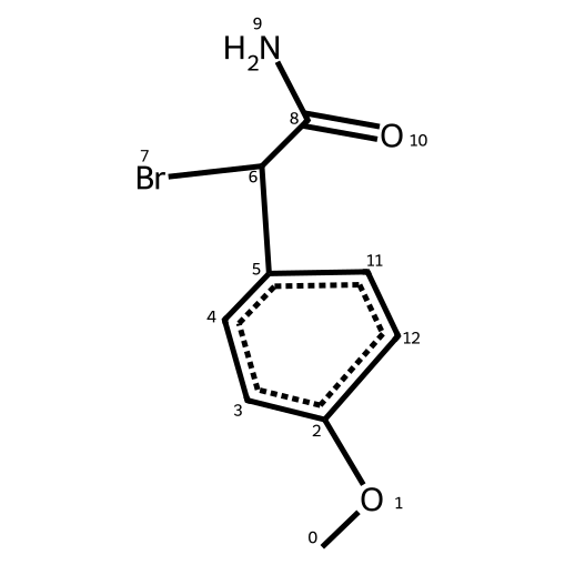 COc1ccc(C(Br)C(N)=O)cc1